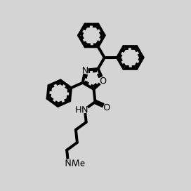 CNCCCCNC(=O)c1oc(C(c2ccccc2)c2ccccc2)nc1-c1ccccc1